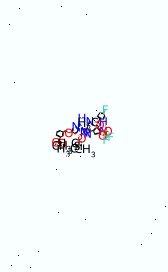 COC(=O)c1cccc(COc2ccc(Nc3c(C#N)c(-c4ccc(NS(=O)(=O)C(F)F)c(O[C@@H](C)c5ccc(F)cc5)c4)nn3COCC[Si](C)(C)C)nc2)c1